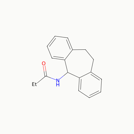 CCC(=O)NC1c2ccccc2CCc2ccccc21